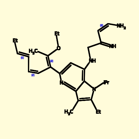 CC/C=C/C=C\C(=C(/C)OCC)c1cc(NCC(=N)/C=C\N)c2c(n1)c(C)c(CC)n2C(C)C